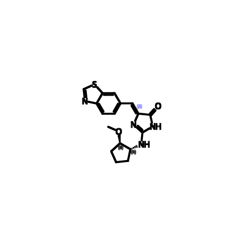 CO[C@@H]1CCC[C@H]1NC1=N/C(=C\c2ccc3ncsc3c2)C(=O)N1